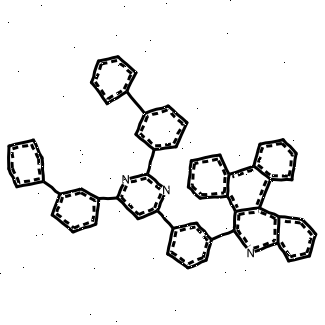 c1ccc(-c2cccc(-c3cc(-c4cccc(-c5nc6ccccc6c6c7ccccc7c7ccccc7c56)c4)nc(-c4cccc(-c5ccccc5)c4)n3)c2)cc1